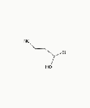 CCC(O)CCC#N